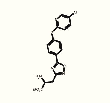 CCOC(=O)C(N)Cc1noc(-c2ccc(Oc3ccc(Cl)cn3)cc2)n1